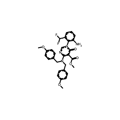 COC(=O)c1c(N(Cc2ccc(OC)cc2)Cc2ccc(OC)cc2)ncn(-c2c(N)cccc2C(F)F)c1=O